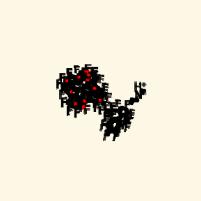 CCC[NH2+]CC.Fc1c(F)c(F)c(-c2c(C(F)(F)F)c(F)c(F)c(F)c2C(F)(F)C(F)(F)F)c(F)c1F.Fc1cc2c(c(F)c1F)-c1c(F)c(F)c(F)c(F)c1C2[B-](C1c2cc(F)c(F)c(F)c2-c2c(F)c(F)c(F)c(F)c21)(C1c2cc(F)c(F)c(F)c2-c2c(F)c(F)c(F)c(F)c21)C1c2cc(F)c(F)c(F)c2-c2c(F)c(F)c(F)c(F)c21